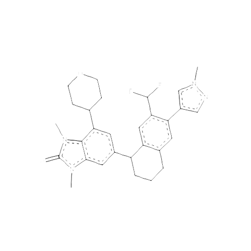 Cn1cc(-c2cc3c(cc2C(F)F)C(c2cc(C4CCOCC4)c4c(c2)n(C)c(=O)n4C)CCC3)cn1